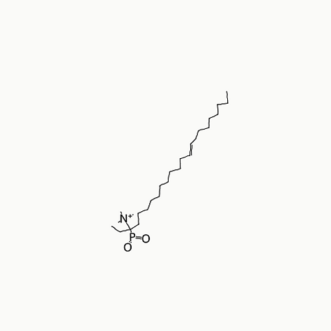 CCCCCCCCC=CCCCCCCCCCCC(CC)(P(=O)=O)[N+](C)(C)C